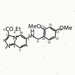 CCOC(=O)c1cnc2ccc(NCc3ccc(OC)cc3OC)cn12